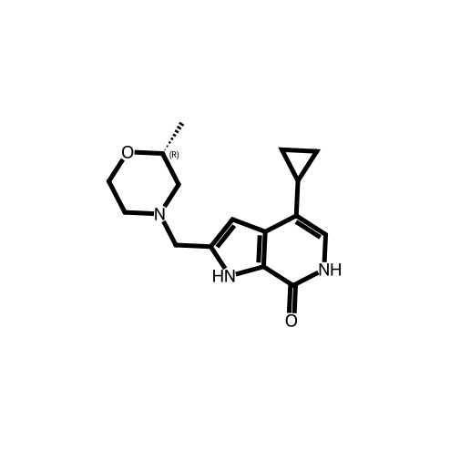 C[C@@H]1CN(Cc2cc3c(C4CC4)c[nH]c(=O)c3[nH]2)CCO1